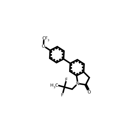 CC(F)(F)CN1C(=O)Cc2ccc(-c3ccc(OC(F)(F)F)cc3)cc21